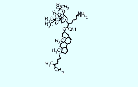 CC(C)CCCC[C@H]1CCC2C3CC=C4C[C@@H](OC(O)[C@H](CCCCN)N(CC(=O)OC(C)(C)C)CC(=O)OC(C)(C)C)CC[C@]4(C)C3CC[C@@]21C